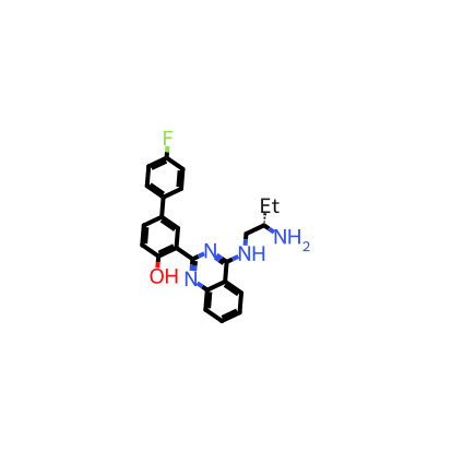 CC[C@H](N)CNc1nc(-c2cc(-c3ccc(F)cc3)ccc2O)nc2ccccc12